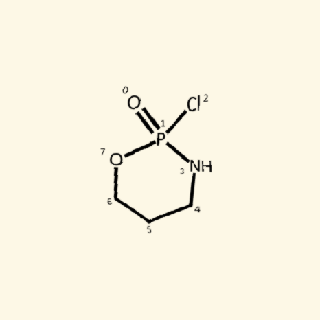 O=P1(Cl)NCCCO1